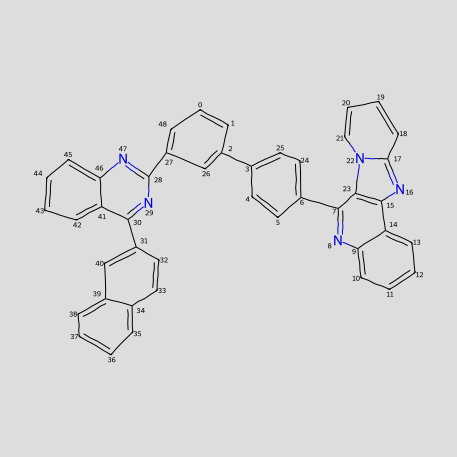 c1cc(-c2ccc(-c3nc4ccccc4c4nc5ccccn5c34)cc2)cc(-c2nc(-c3ccc4ccccc4c3)c3ccccc3n2)c1